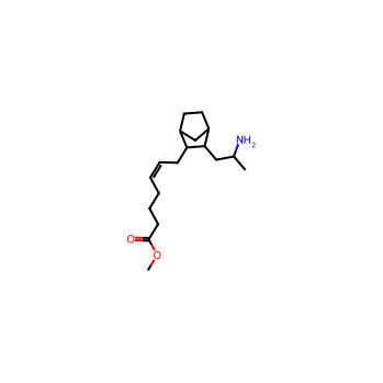 COC(=O)CCC/C=C\CC1C2CCC(C2)C1CC(C)N